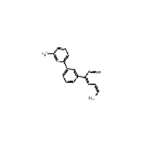 C/C=C\C=C(/C=N)c1cccc(-c2cccc(C)c2)c1